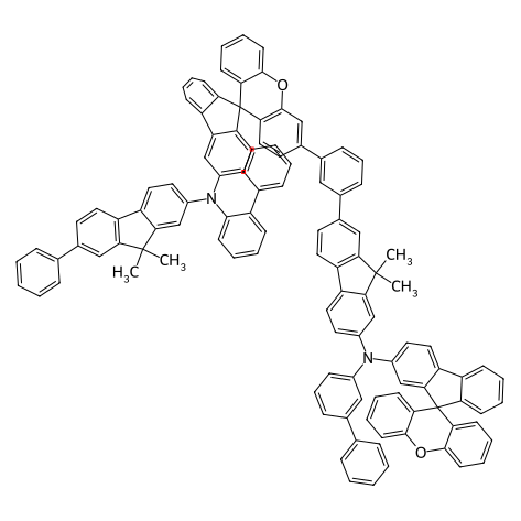 CC1(C)c2cc(-c3cccc(-c4ccc5c(c4)Oc4ccccc4C54c5ccccc5-c5cc(N(c6ccc7c(c6)C(C)(C)c6cc(-c8ccccc8)ccc6-7)c6ccccc6-c6ccccc6)ccc54)c3)ccc2-c2ccc(N(c3cccc(-c4ccccc4)c3)c3ccc4c(c3)C3(c5ccccc5Oc5ccccc53)c3ccccc3-4)cc21